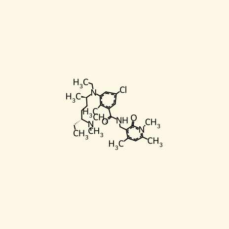 CC[C@H](CC[C@@H](C)N(CC)c1cc(Cl)cc(C(=O)NCc2c(C)cc(C)n(C)c2=O)c1C)N(C)C